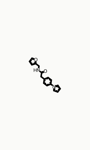 O=C(Cc1ccc(-n2cccc2)cc1)NCc1ccco1